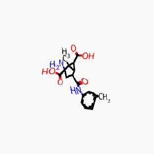 Cc1cccc(NC(=O)C2CC(N)(C(=O)O)C3(C)C(C(=O)O)C23)c1